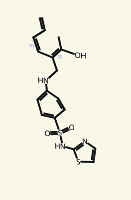 C=C/C=C\C(CNc1ccc(S(=O)(=O)Nc2nccs2)cc1)=C(/C)O